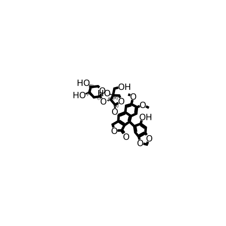 COc1cc2c(O[C@@H]3OC[C@](O)(CO)[C@H]3O[C@H]3C[C@@H](O)[C@H](O)CO3)c3c(c(-c4cc5c(cc4O)OCO5)c2cc1OC)C(=O)OC3